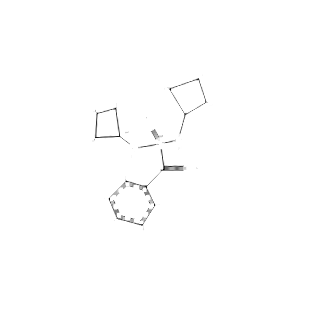 O=C(c1ccccc1)P(=O)(OC1CCC1)OC1CCC1